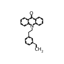 C=Cc1cccc(CCn2c3ccccc3c(=O)c3ccccc32)c1